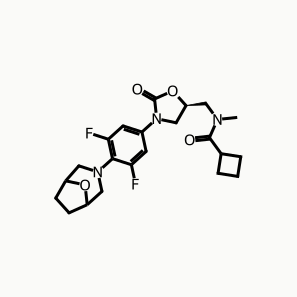 CN(C[C@H]1CN(c2cc(F)c(N3CC4CCC(C3)O4)c(F)c2)C(=O)O1)C(=O)C1CCC1